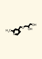 Cc1cc(COCC(O)CO)ccn1